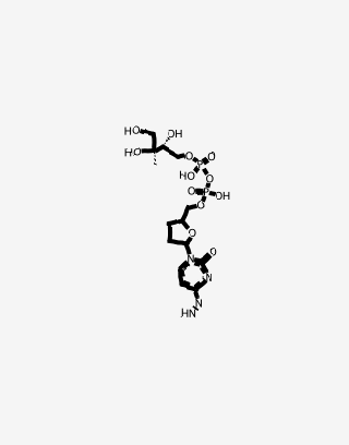 C[C@](O)(CO)[C@H](O)COP(=O)(O)OP(=O)(O)OCC1CCC(n2ccc(N=N)nc2=O)O1